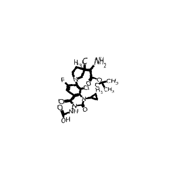 CC(C)(C)OC(=O)C(N)C1(C)CCN(c2c(F)cc3c(=O)n(NC(=O)O)c(=O)n(C4CC4)c3c2Cl)C1